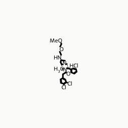 COCCOCCNC1CCN(C[C@H](c2ccccc2)N(C)C(=O)Cc2ccc(Cl)c(Cl)c2)C1.Cl